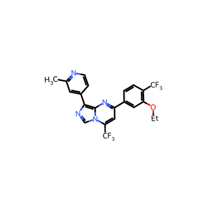 CCOc1cc(-c2cc(C(F)(F)F)n3cnc(-c4ccnc(C)c4)c3n2)ccc1C(F)(F)F